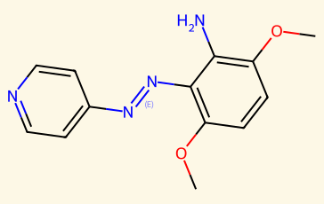 COc1ccc(OC)c(/N=N/c2ccncc2)c1N